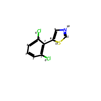 Clc1cccc(Cl)c1-c1cn[c]s1